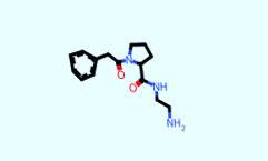 NCCNC(=O)C1CCCN1C(=O)Cc1ccccc1